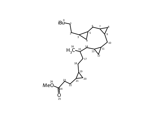 CCC(C)CCC1CC1CC1CC1CC1CC1CC(C)CCC1CC1CCC(=O)OC